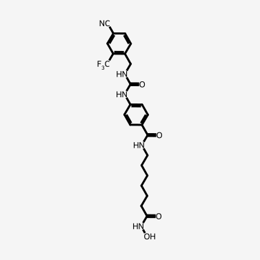 N#Cc1ccc(CNC(=O)Nc2ccc(C(=O)NCCCCCCC(=O)NO)cc2)c(C(F)(F)F)c1